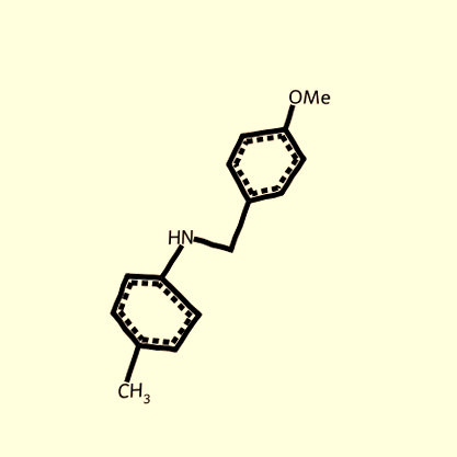 COc1ccc(CNc2ccc(C)cc2)cc1